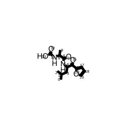 CC(C)CC(NC(=O)C(C)NC(=O)O)C(=O)c1ccco1